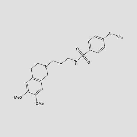 COc1cc2c(cc1OC)CN(CCCNS(=O)(=O)c1ccc(OC(F)(F)F)cc1)CC2